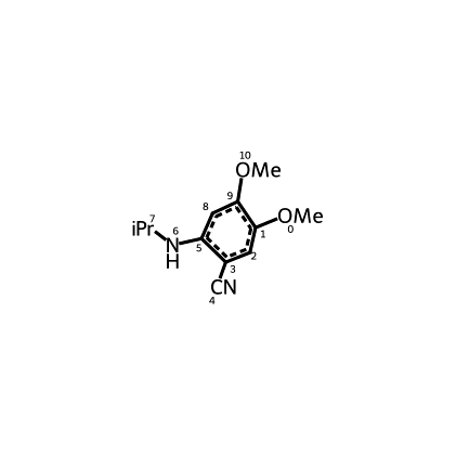 COc1cc(C#N)c(NC(C)C)cc1OC